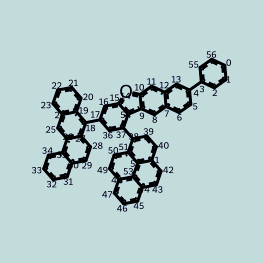 c1ccc(-c2ccc3cc4c(cc3c2)oc2cc(-c3c5ccccc5cc5c3ccc3ccccc35)cc(-c3ccc5ccc6cccc7ccc3c5c67)c24)cc1